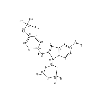 COc1ccc2c(c1)nc(Nc1ccc(OC(F)(F)F)cc1)n2C1CC(C)CC(C)(C)C1